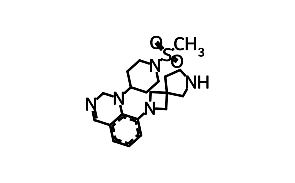 CS(=O)(=O)N1CCC(N2CN=Cc3cccc(N4CC5(CCNC5)C4)c32)CC1